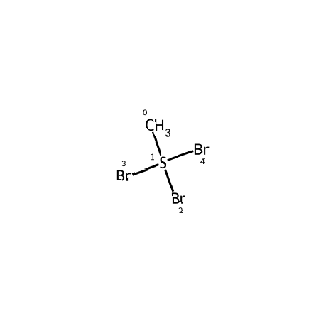 CS(Br)(Br)Br